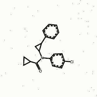 O=C(C1CC1)N(c1ccc(Cl)cc1)C1CC1c1ccccc1